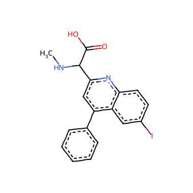 CNC(C(=O)O)c1cc(-c2ccccc2)c2cc(I)ccc2n1